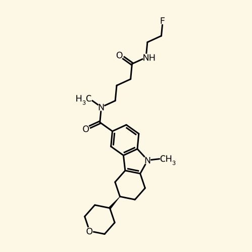 CN(CCCC(=O)NCCF)C(=O)c1ccc2c(c1)c1c(n2C)CC[C@@H](C2CCOCC2)C1